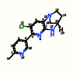 Cc1ccc(-c2nc3c(cc2Cl)N2CC[C@@H](C2)N3)cn1